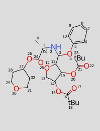 C[C@H](NC(Oc1ccccc1)C1OCC(OC(=O)C(C)(C)C)C1OC(=O)C(C)(C)C)C(=O)OC1CCOCC1